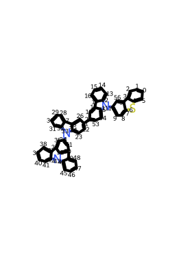 c1ccc2c(c1)sc1ccc(-n3c4ccccc4c4cc(-c5ccc6c(c5)c5ccccc5n6-c5cc6c7ccccc7n7c8ccccc8c(c5)c67)ccc43)cc12